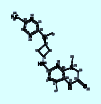 Cc1nc(N[C@H]2C[C@H](N(C)c3cnc(C(F)(F)F)cn3)C2)nc2c1NC(=O)CN2C